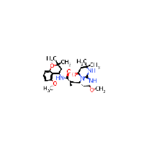 COCC[C@H]([C@@H]1C[C@H]1C(=O)N[C@@H]1CC(C)(C)Oc2cccc(OC)c21)N1C(=N)NC(C)(C)CC1=O